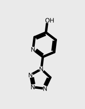 Oc1ccc(-n2cnnn2)nc1